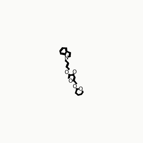 O=c1cc(COC2CCCCO2)occ1OC/C=C/Cn1ccc2ccccc21